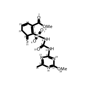 COC(=O)C1=C(S(=O)(=O)NC(=O)Nc2nc(C)nc(OC)n2)C(=S)CC=C1